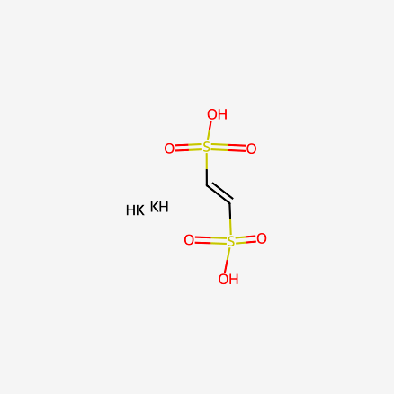 O=S(=O)(O)C=CS(=O)(=O)O.[KH].[KH]